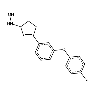 ONC1C=C(c2cccc(Oc3ccc(F)cc3)c2)CC1